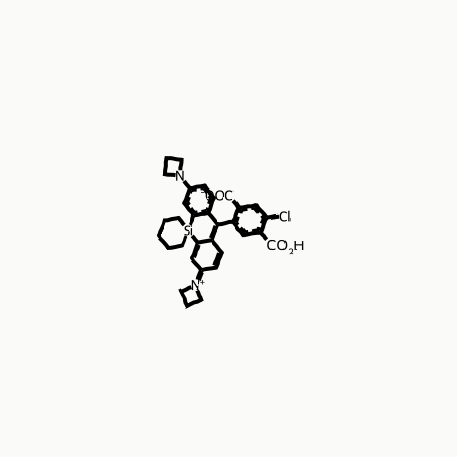 O=C(O)c1cc(C2=C3C=CC(=[N+]4CCC4)C=C3[Si]3(CCCCC3)c3cc(N4CCC4)ccc32)c(C(=O)[O-])cc1Cl